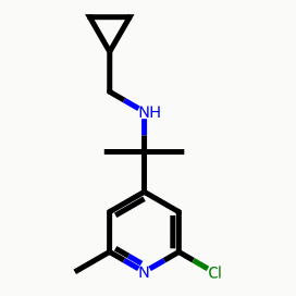 Cc1cc(C(C)(C)NCC2CC2)cc(Cl)n1